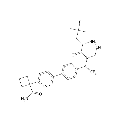 CC(C)(F)C[C@H](N)C(=O)N(CC#N)[C@@H](c1ccc(-c2ccc(C3(C(N)=O)CCC3)cc2)cc1)C(F)(F)F